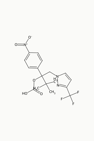 CC(C)(C)C(Cn1ccc(C(F)(F)F)n1)(OC(=O)O)c1ccc([N+](=O)[O-])cc1